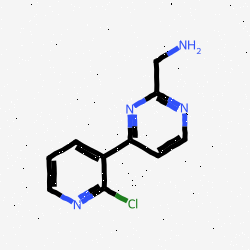 NCc1nccc(-c2cccnc2Cl)n1